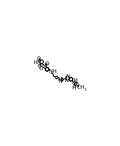 CN1C[C@H]2C[C@@H]1CN2c1ccc2ncc(-c3cnn(C4CC(CCCNc5ccc6c(c5)C(=O)N(C5CCC(=O)NC5=O)C6=O)C4)c3)nc2c1